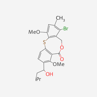 COc1cc(C)c(Br)c2c1Sc1ccc(C(O)CC(C)C)c(OC)c1C(=O)OC2